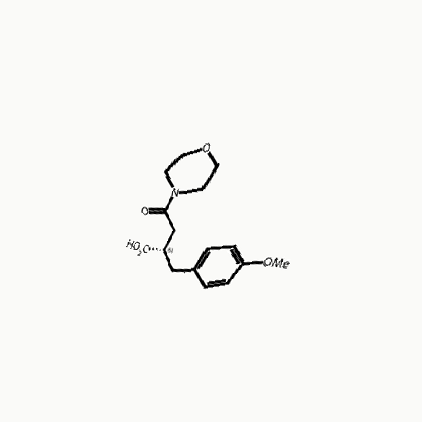 COc1ccc(C[C@@H](CC(=O)N2CCOCC2)C(=O)O)cc1